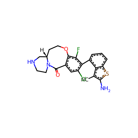 N#Cc1c(N)sc2cccc(-c3c(Cl)cc4c(c3F)OCC[C@H]3CNCCN3C4=O)c12